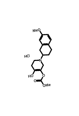 COC(=O)OC1=C(O)CCN(C2CCc3ccc(OC)cc3C2)C1.Cl